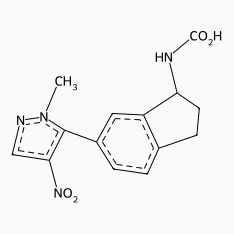 Cn1ncc([N+](=O)[O-])c1-c1ccc2c(c1)C(NC(=O)O)CC2